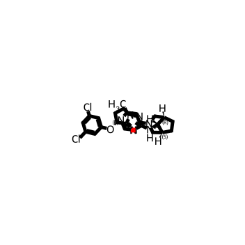 Cc1cc(N2C[C@H]3CC[C@@H](C2)[C@@H]3Nc2nc3n(n2)CC[C@H]3Oc2cc(Cl)cc(Cl)c2)ncn1